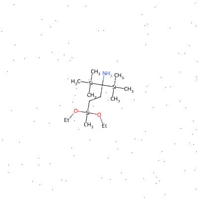 CCO[Si](C)(CCC(N)([Si](C)(C)C)[Si](C)(C)C)OCC